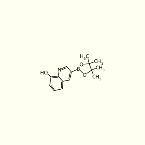 CC1(C)OB(c2cnc3c(O)cccc3c2)OC1(C)C